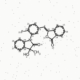 CC1(O)C(=O)N(c2cc(C=C3OC(=O)c4ccccc43)ccc2F)c2ccccc21